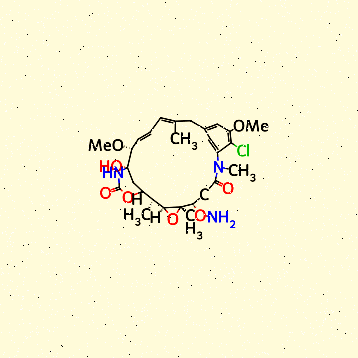 COc1cc2cc(c1Cl)N(C)C(=O)C[C@H](ON)[C@]1(C)O[C@H]1[C@H](C)[C@@H]1C[C@@](O)(NC(=O)O1)[C@H](OC)/C=C/C=C(\C)C2